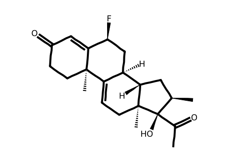 CC(=O)[C@@]1(O)[C@H](C)C[C@H]2[C@@H]3C[C@H](F)C4=CC(=O)CC[C@]4(C)C3=CC[C@@]21C